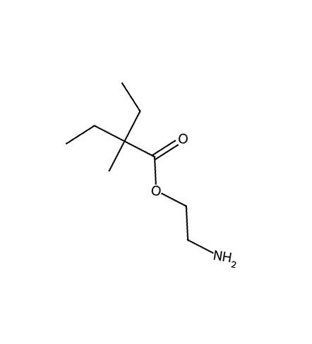 CCC(C)(CC)C(=O)OCCN